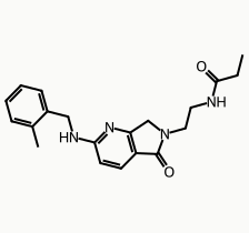 CCC(=O)NCCN1Cc2nc(NCc3ccccc3C)ccc2C1=O